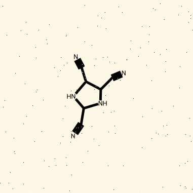 N#CC1NC(C#N)C(C#N)N1